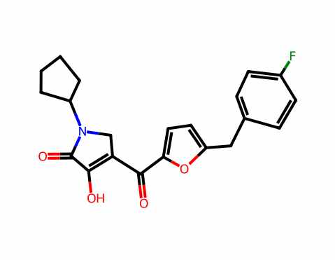 O=C(C1=C(O)C(=O)N(C2CCCC2)C1)c1ccc(Cc2ccc(F)cc2)o1